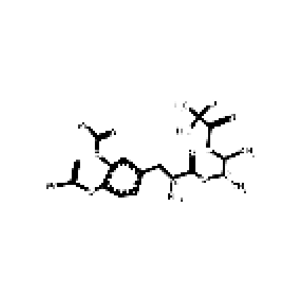 CCC(C)(C)C(=O)OC(C)[C@H](C)OC(=O)[C@@H](N)Cc1ccc(OC(=O)C(C)C)c(OC(=O)C(C)C)c1